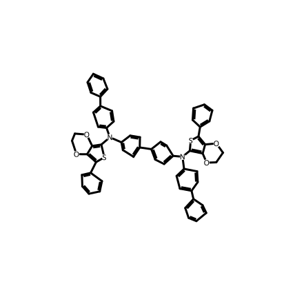 c1ccc(-c2ccc(N(c3ccc(-c4ccc(N(c5ccc(-c6ccccc6)cc5)c5sc(-c6ccccc6)c6c5OCCO6)cc4)cc3)c3sc(-c4ccccc4)c4c3OCCO4)cc2)cc1